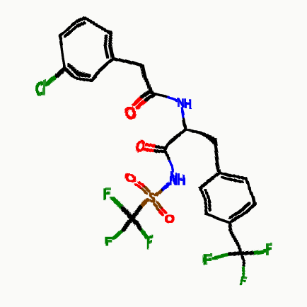 O=C(Cc1cccc(Cl)c1)N[C@@H](Cc1ccc(C(F)(F)F)cc1)C(=O)NS(=O)(=O)C(F)(F)F